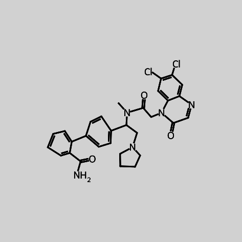 CN(C(=O)Cn1c(=O)cnc2cc(Cl)c(Cl)cc21)C(CN1CCCC1)c1ccc(-c2ccccc2C(N)=O)cc1